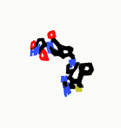 O=C1CCC(N2Cc3cc(CN4CC=C(c5ncnc6scc(-c7ccccc7)c56)CC4)ccc3C2=O)C(=O)N1